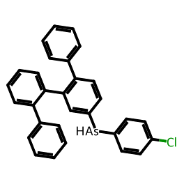 Clc1ccc([AsH]c2ccc(-c3ccccc3)c(-c3ccccc3-c3ccccc3)c2)cc1